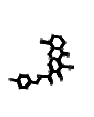 O=C(NCc1ccc(F)cc1)c1cn2c(c(O)c1=O)C(=O)N1CCCC(=O)C1C2